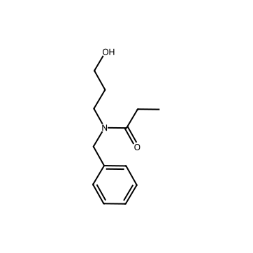 CCC(=O)N(CCCO)Cc1ccccc1